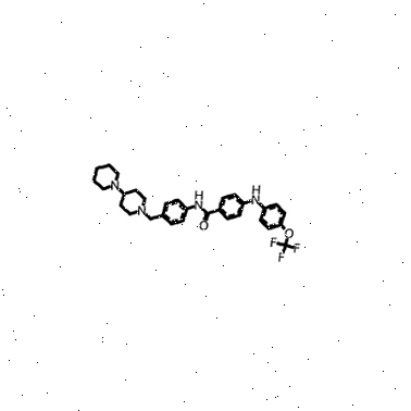 O=C(Nc1ccc(CN2CCC(N3CCCCC3)CC2)cc1)c1ccc(Nc2ccc(OC(F)(F)F)cc2)cc1